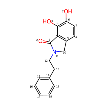 O=C1c2c(ccc(O)c2O)CN1CCc1ccccc1